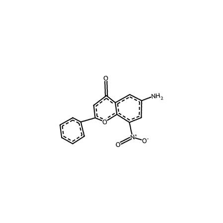 Nc1cc([N+](=O)[O-])c2oc(-c3ccccc3)cc(=O)c2c1